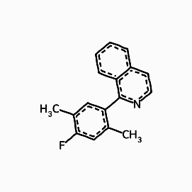 Cc1cc(-c2nccc3ccccc23)c(C)cc1F